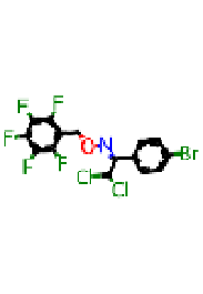 Fc1c(F)c(F)c(CON=C(c2ccc(Br)cc2)C(Cl)Cl)c(F)c1F